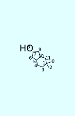 CC1(C)CCC2CC(O)CC2C1